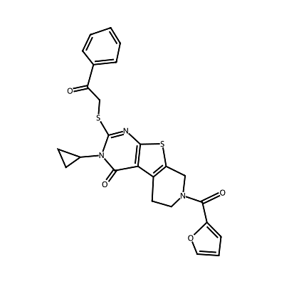 O=C(CSc1nc2sc3c(c2c(=O)n1C1CC1)CCN(C(=O)c1ccco1)C3)c1ccccc1